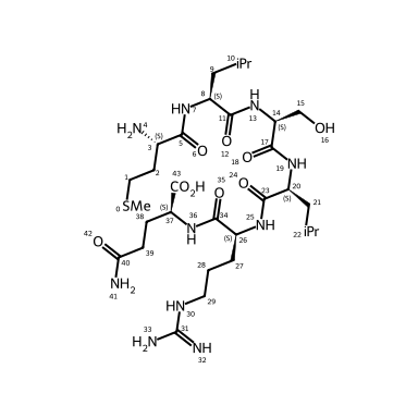 CSCC[C@H](N)C(=O)N[C@@H](CC(C)C)C(=O)N[C@@H](CO)C(=O)N[C@@H](CC(C)C)C(=O)N[C@@H](CCCNC(=N)N)C(=O)N[C@@H](CCC(N)=O)C(=O)O